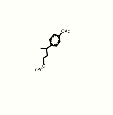 CCCOCCC(C)c1ccc(OC(C)=O)cc1